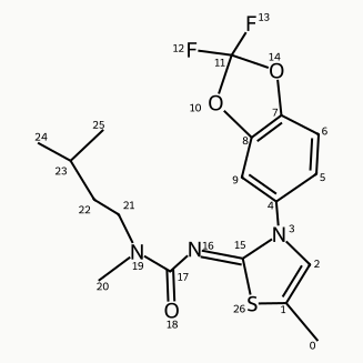 Cc1cn(-c2ccc3c(c2)OC(F)(F)O3)c(=NC(=O)N(C)CCC(C)C)s1